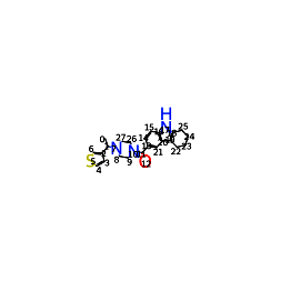 CC(c1ccsc1)N1CCN(C(=O)c2ccc3[nH]c4c(c3c2)CCCC4)CC1